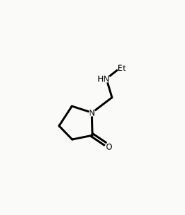 CCNCN1CCCC1=O